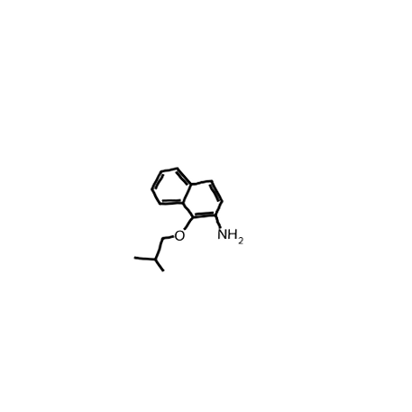 CC(C)COc1c(N)ccc2ccccc12